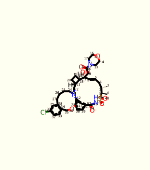 C[C@@H]1[C@@H](C)C/C=C/[C@](O)(CC(=O)N2CCOCC2)[C@@H]2CC[C@H]2CN2CCCCc3cc(Cl)ccc3COc3ccc(cc32)C(=O)NS1(=O)=O